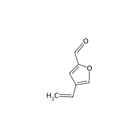 C=Cc1coc(C=O)c1